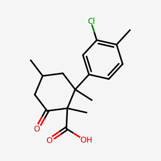 Cc1ccc(C2(C)CC(C)CC(=O)C2(C)C(=O)O)cc1Cl